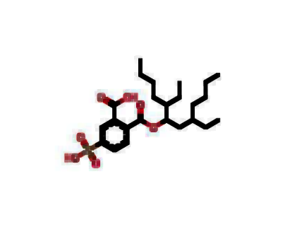 CCCCC(CC)CC(OC(=O)c1ccc(S(=O)(=O)O)cc1C(=O)O)C(CC)CCCC